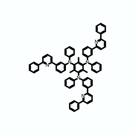 Cc1c(N(c2ccccc2)c2cccc(-c3cccc(-c4ccccc4)n3)c2)c(C)c(N(c2ccccc2)c2cccc(-c3cccc(-c4ccccc4)n3)c2)c(C)c1N(c1ccccc1)c1cccc(-c2cccc(-c3ccccc3)n2)c1